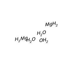 O.O.O.[MgH2].[MgH2]